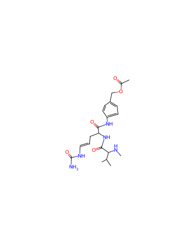 CNC(C(=O)NC(C/C=C/NC(N)=O)C(=O)Nc1ccc(COC(C)=O)cc1)C(C)C